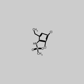 CCc1cc(Cl)cc(Cl)c1NS(C)(=O)=O